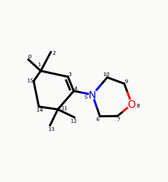 CC1(C)C=C(N2CCOCC2)C(C)(C)CC1